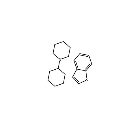 C1CCC(N2CCCCC2)CC1.c1ccc2sccc2c1